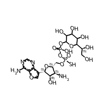 Nc1ncnc2c([C@@H]3O[C@H](COP(=O)(S)OP(=O)(O)OC4OC([C@@H](O)CO)C(O)C(O)C4O)[C@@H](N)[C@H]3O)coc12